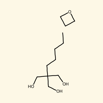 C1COC1.CCCCCC(CO)(CO)CO